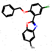 CC(C)(C)c1ccc2oc(-c3cc(Br)ccc3OCc3ccccc3)nc2c1